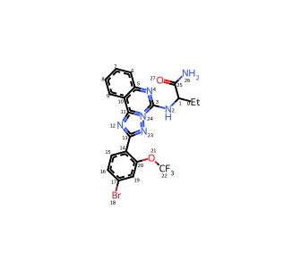 CCC(Nc1nc2ccccc2c2nc(-c3ccc(Br)cc3OC(F)(F)F)nn12)C(N)=O